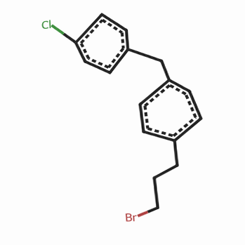 Clc1ccc(Cc2ccc(CCCBr)cc2)cc1